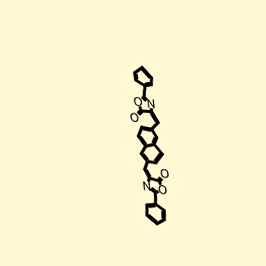 O=C1OC(c2ccccc2)=N/C1=C/c1ccc2cc(/C=C3/N=C(c4ccccc4)OC3=O)ccc2c1